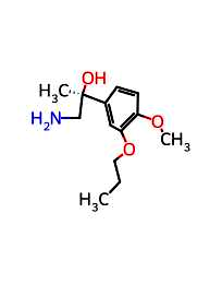 CCCOc1cc([C@](C)(O)CN)ccc1OC